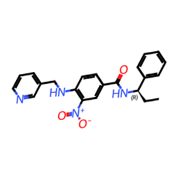 CC[C@@H](NC(=O)c1ccc(NCc2cccnc2)c([N+](=O)[O-])c1)c1ccccc1